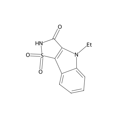 CCn1c2c(c3ccccc31)S(=O)(=O)NC2=O